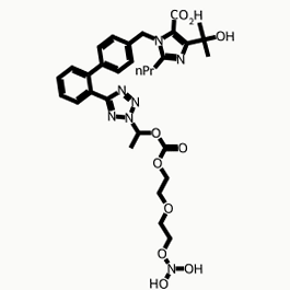 CCCc1nc(C(C)(C)O)c(C(=O)O)n1Cc1ccc(-c2ccccc2-c2nnn(C(C)OC(=O)OCCOCCON(O)O)n2)cc1